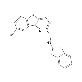 Brc1ccc2oc3cnc(CNC4Cc5ccccc5C4)nc3c2c1